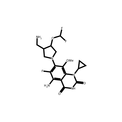 COc1c(N2CC(CN)C(OC(F)F)C2)c(F)c(N)c2c(=O)[nH]c(=O)n(C3CC3)c12